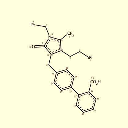 CC(C)CCc1c(C(F)(F)F)n(CC(C)C)c(=O)n1Cc1ccc(-c2ccccc2C(=O)O)cc1